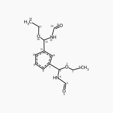 CCOC(NC=O)c1cccc(C(NC=O)OCC)c1